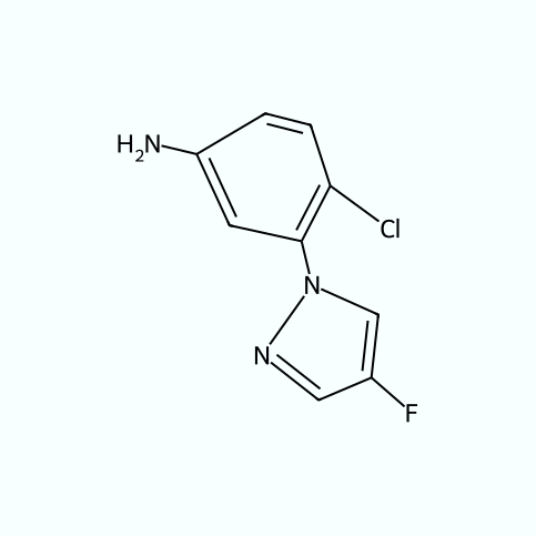 Nc1ccc(Cl)c(-n2cc(F)cn2)c1